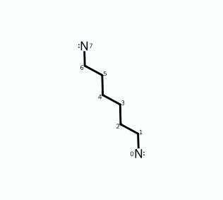 [N]CCCCCC[N]